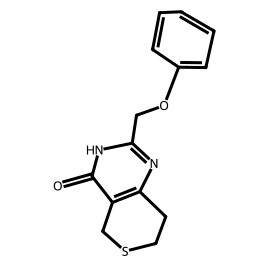 O=c1[nH]c(COc2ccccc2)nc2c1CSCC2